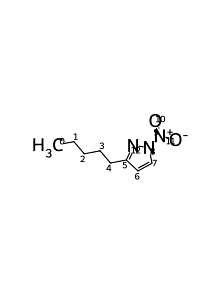 CCCCCc1ccn([N+](=O)[O-])n1